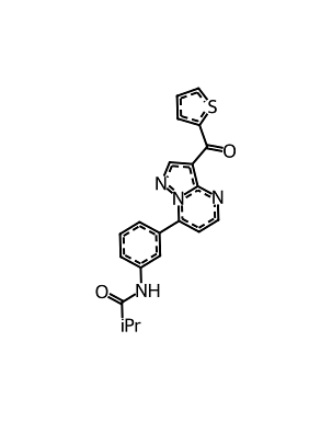 CC(C)C(=O)Nc1cccc(-c2ccnc3c(C(=O)c4cccs4)cnn23)c1